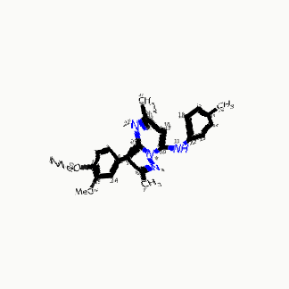 COc1ccc(-c2c(C)nn3c(Nc4ccc(C)cc4)cc(C)nc23)cc1OC